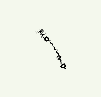 CC(C)(C)OC(=O)Nc1ccc(OCCOCCOCCn2cc(COc3ccc(I)cc3)nn2)cc1